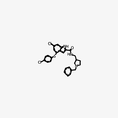 O=C(NCC1CCN(Cc2ccccc2)C1)c1cc2c(Sc3ccc(Cl)cc3)cc(Cl)cc2[nH]1